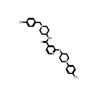 [C-]#[N+]c1ccc(CN2CCC(NC(=O)c3ccnc(OC4CCN(c5ccc(C(F)(F)F)cc5)CC4)c3)CC2)cc1